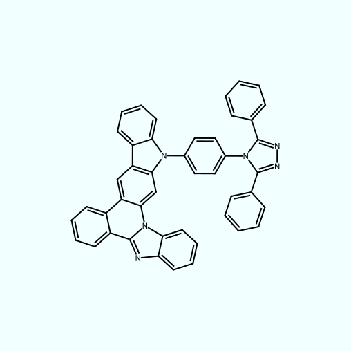 c1ccc(-c2nnc(-c3ccccc3)n2-c2ccc(-n3c4ccccc4c4cc5c6ccccc6c6nc7ccccc7n6c5cc43)cc2)cc1